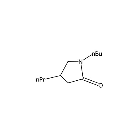 C[CH]CCN1CC(CCC)CC1=O